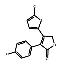 O=C1OCC(c2ccc(Cl)s2)=C1c1ccc(F)cc1